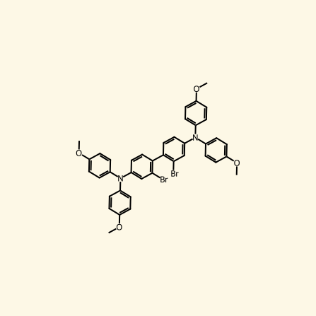 COc1ccc(N(c2ccc(OC)cc2)c2ccc(-c3ccc(N(c4ccc(OC)cc4)c4ccc(OC)cc4)cc3Br)c(Br)c2)cc1